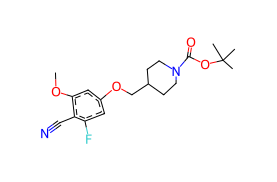 COc1cc(OCC2CCN(C(=O)OC(C)(C)C)CC2)cc(F)c1C#N